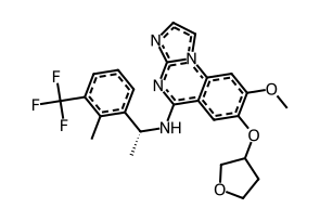 COc1cc2c(cc1OC1CCOC1)c(N[C@H](C)c1cccc(C(F)(F)F)c1C)nc1nccn12